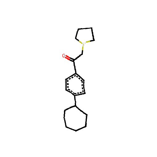 O=C(C[S+]1CCCC1)c1ccc(C2CCCCC2)cc1